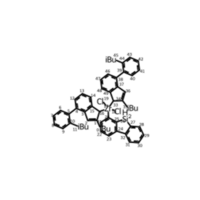 CCC(C)C1=Cc2c(-c3ccccc3C(C)CC)cccc2[CH]1[Zr]([Cl])([Cl])([c]1cccc2c1[SiH2]c1ccccc1-2)[CH]1C(C(C)CC)=Cc2c(-c3ccccc3C(C)CC)cccc21